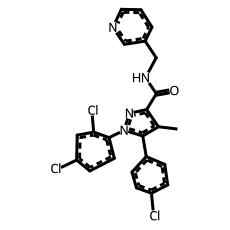 Cc1c(C(=O)NCc2cccnc2)nn(-c2ccc(Cl)cc2Cl)c1-c1ccc(Cl)cc1